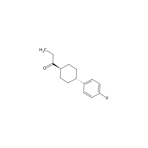 CCC(=O)[C@H]1CC[C@H](c2ccc(F)cc2)CC1